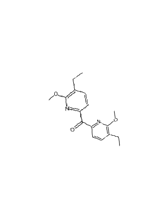 CCc1ccc(C(=O)c2ccc(CC)c(OC)n2)nc1OC